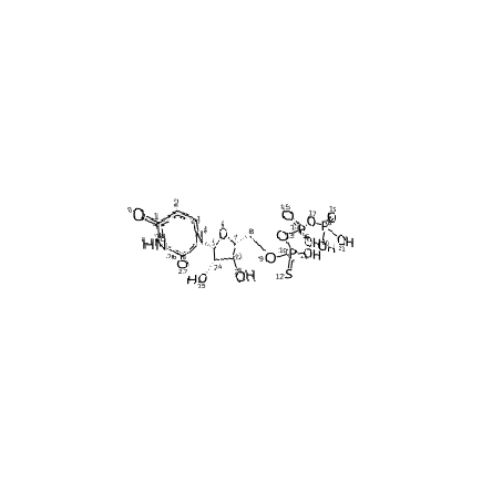 O=c1ccn([C@@H]2O[C@H](COP(O)(=S)OP(=O)(O)OP(=O)(O)O)C(O)[C@@H]2O)c(=O)[nH]1